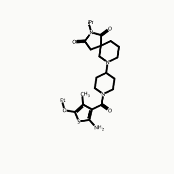 CCOc1sc(N)c(C(=O)N2CCC(N3CCCC4(CC(=O)N(C(C)C)C4=O)C3)CC2)c1C